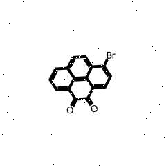 O=c1c(=O)c2ccc(Br)c3ccc4cccc1c4c32